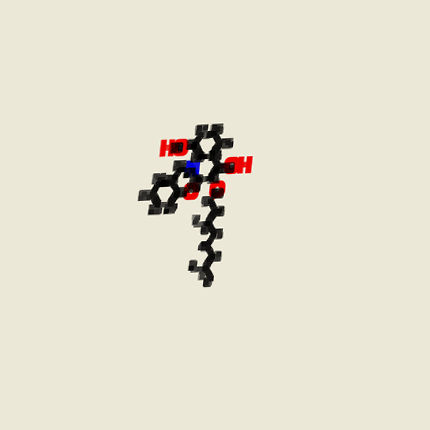 CC(C)=CCC/C(C)=C/COc1c(O)c2cccc(O)c2n(Cc2ccccc2)c1=O